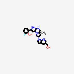 C[C@]12CNc3nnc(-c4cccc(F)c4O)cc3N1C[C@H](n1ccc3cc(CO)cnc31)C2